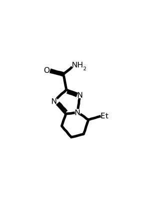 CCC1CCCc2nc(C(N)=O)nn21